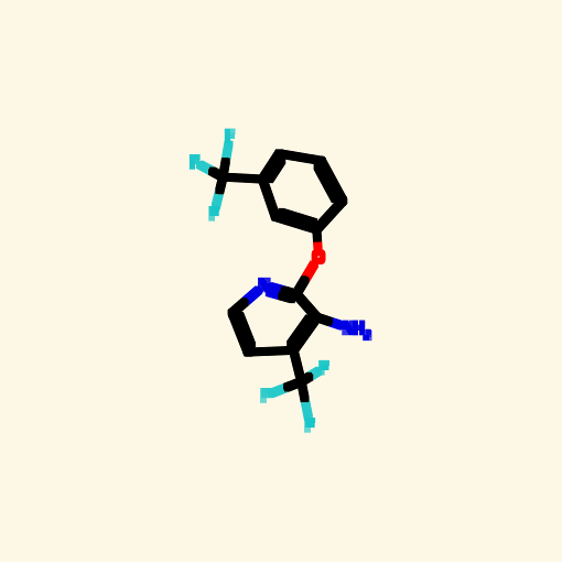 Nc1c(C(F)(F)F)ccnc1Oc1cccc(C(F)(F)F)c1